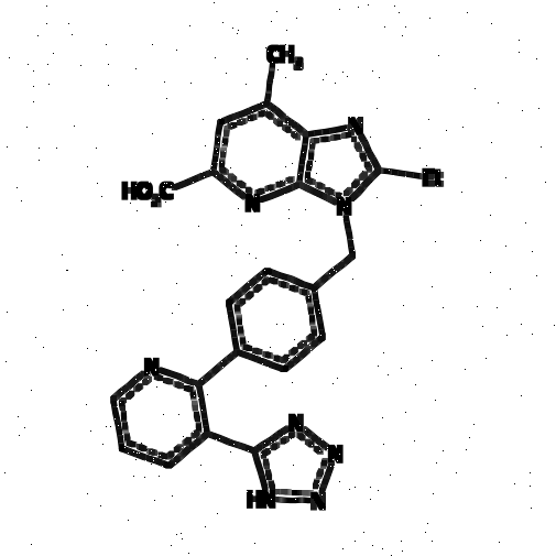 CCc1nc2c(C)cc(C(=O)O)nc2n1Cc1ccc(-c2ncccc2-c2nnn[nH]2)cc1